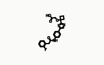 O=C(O)COC1(c2ncc(-c3ccc(NC(=O)Cc4ccccc4F)cc3)s2)CCC1